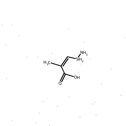 CC(=C[SiH2]N)C(=O)O